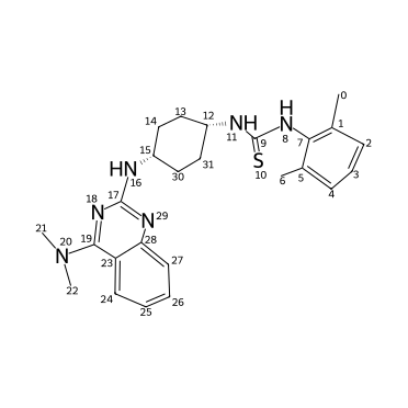 Cc1cccc(C)c1NC(=S)N[C@H]1CC[C@@H](Nc2nc(N(C)C)c3ccccc3n2)CC1